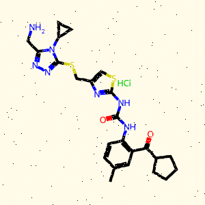 Cc1ccc(NC(=O)Nc2nc(CSc3nnc(CN)n3C3CC3)cs2)c(C(=O)C2CCCC2)c1.Cl